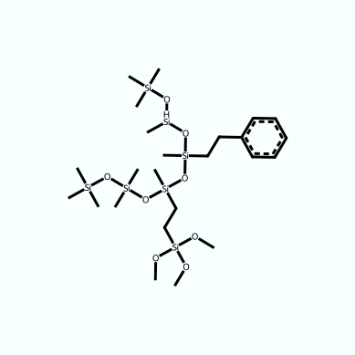 CO[Si](CC[Si](C)(O[Si](C)(C)O[Si](C)(C)C)O[Si](C)(CCc1ccccc1)O[SiH](C)O[Si](C)(C)C)(OC)OC